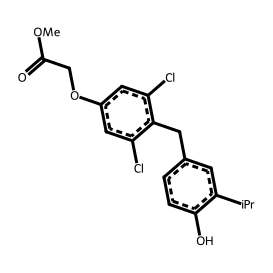 COC(=O)COc1cc(Cl)c(Cc2ccc(O)c(C(C)C)c2)c(Cl)c1